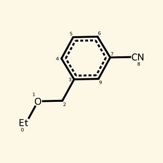 CCOCc1cccc(C#N)c1